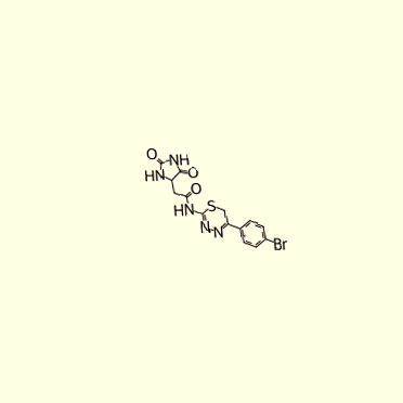 O=C(CC1NC(=O)NC1=O)NC1=NN=C(c2ccc(Br)cc2)CS1